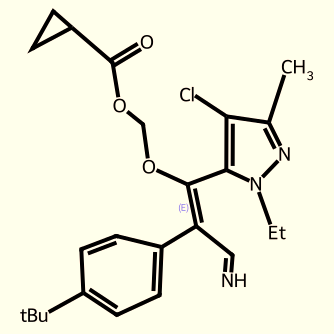 CCn1nc(C)c(Cl)c1/C(OCOC(=O)C1CC1)=C(\C=N)c1ccc(C(C)(C)C)cc1